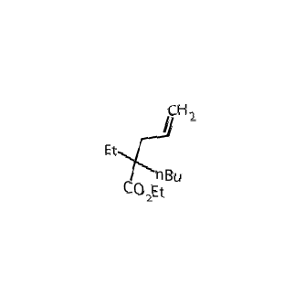 C=CCC(CC)(CCCC)C(=O)OCC